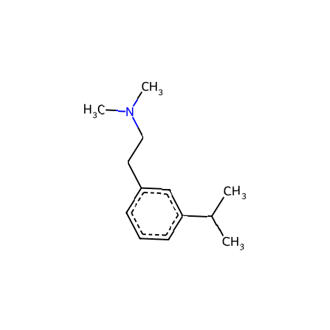 CC(C)c1cccc(CCN(C)C)c1